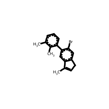 CC1=CCc2cc(Br)c(-c3cccc(C)c3C)cc21